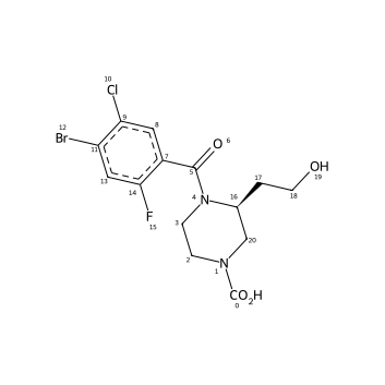 O=C(O)N1CCN(C(=O)c2cc(Cl)c(Br)cc2F)[C@@H](CCO)C1